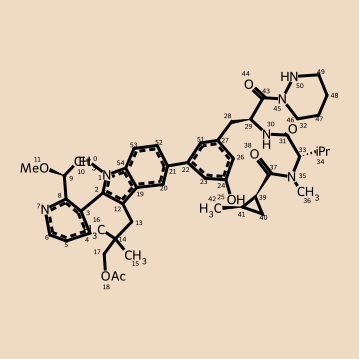 CCn1c(-c2cccnc2[C@H](C)OC)c(CC(C)(C)COC(C)=O)c2cc(-c3cc(O)cc(C[C@H](NC(=O)[C@H](C(C)C)N(C)C(=O)[C@H]4C[C@H]4C)C(=O)N4CCCCN4)c3)ccc21